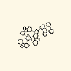 c1cc(-c2ccc3oc4cccc(-c5nc(-c6cccc7oc8ccccc8c67)nc(-c6cccc7sc8ccccc8c67)n5)c4c3c2)cc(-c2cccc3c2-c2ccccc2C32c3ccccc3-c3ccccc32)c1